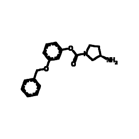 N[C@@H]1CCN(C(=O)Oc2cccc(OCc3ccccc3)c2)C1